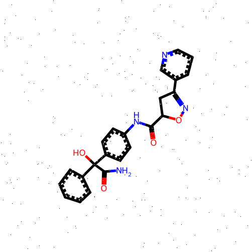 NC(=O)C(O)(c1ccccc1)c1ccc(NC(=O)C2CC(c3cccnc3)=NO2)cc1